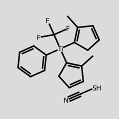 CC1=[C]([Ti]([C]2=C(C)C=CC2)([c]2ccccc2)[C](F)(F)F)CC=C1.N#CS